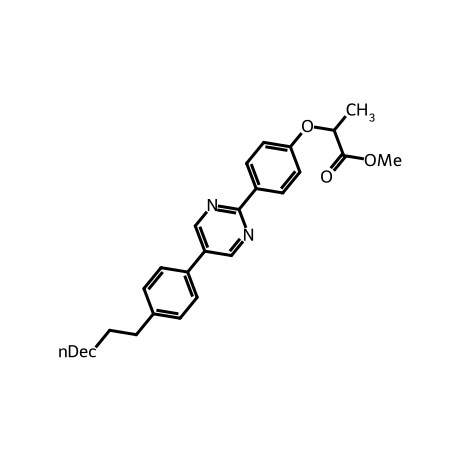 CCCCCCCCCCCCc1ccc(-c2cnc(-c3ccc(OC(C)C(=O)OC)cc3)nc2)cc1